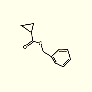 O=C(OCc1c[c]ccc1)C1CC1